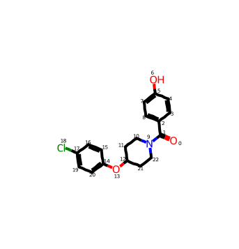 O=C(c1ccc(O)cc1)N1CCC(Oc2ccc(Cl)cc2)CC1